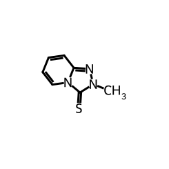 Cn1nc2ccccn2c1=S